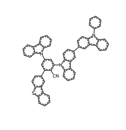 N#Cc1c(-c2ccc3sc4ccccc4c3c2)cc(-n2c3ccccc3c3ccccc32)cc1-n1c2ccccc2c2cc(-c3ccc4c(c3)c3ccccc3n4-c3ccccc3)ccc21